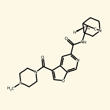 CN1CCN(C(=O)c2coc3cnc(C(=O)N[C@H]4CN5CCC4CC5)cc23)CC1